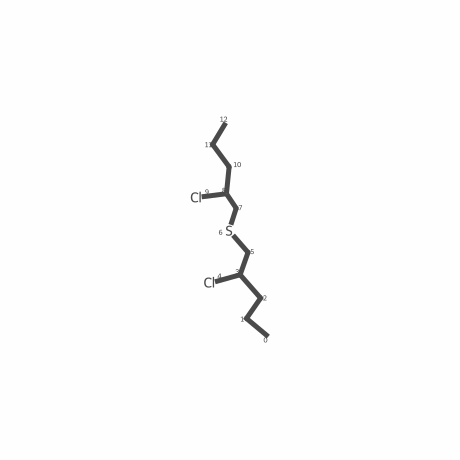 CCCC(Cl)CSCC(Cl)CCC